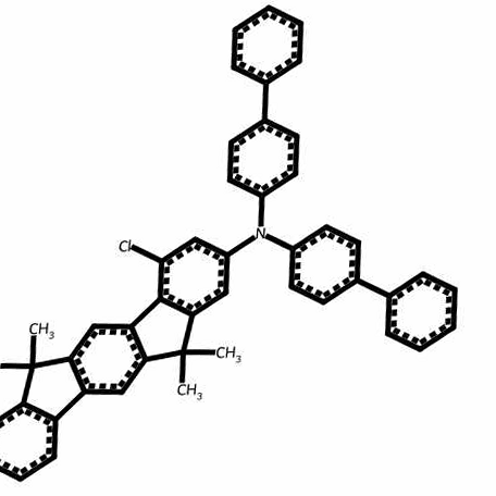 CC1(C)c2ccccc2-c2cc3c(cc21)-c1c(Cl)cc(N(c2ccc(-c4ccccc4)cc2)c2ccc(-c4ccccc4)cc2)cc1C3(C)C